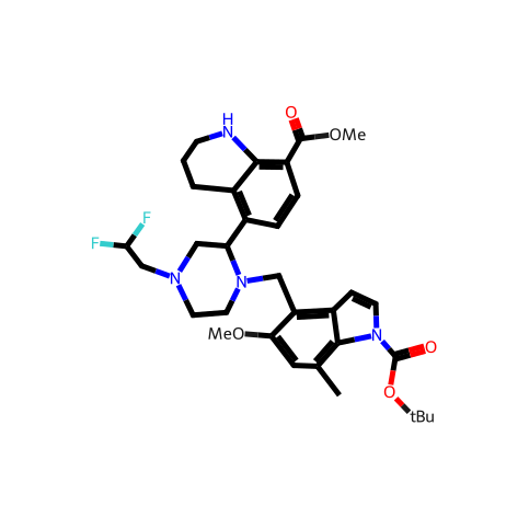 COC(=O)c1ccc(C2CN(CC(F)F)CCN2Cc2c(OC)cc(C)c3c2ccn3C(=O)OC(C)(C)C)c2c1NCCC2